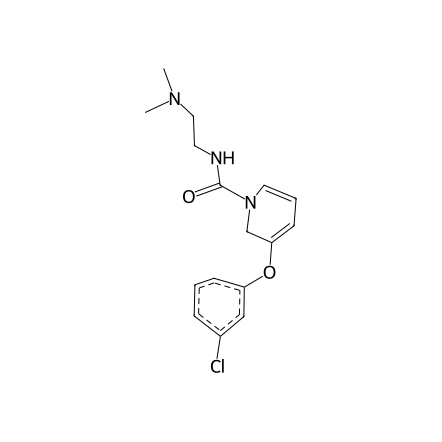 CN(C)CCNC(=O)N1C=CC=C(Oc2cccc(Cl)c2)C1